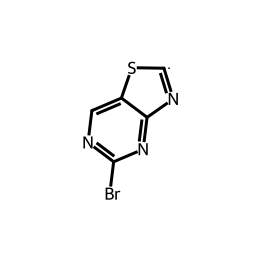 Brc1ncc2s[c]nc2n1